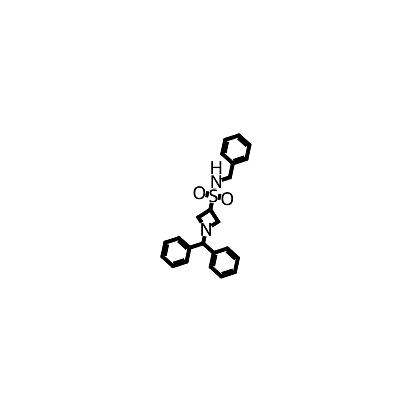 O=S(=O)(NCc1ccccc1)C1CN(C(c2ccccc2)c2ccccc2)C1